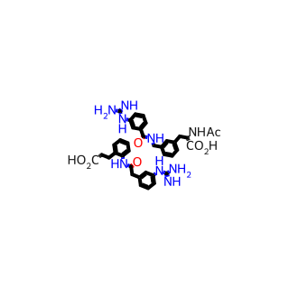 CC(=O)N[C@@H](Cc1cccc(CNC(=O)c2cccc(NC(=N)N)c2)c1)C(=O)O.N=C(N)Nc1cccc(CC(=O)Nc2ccccc2CCC(=O)O)c1